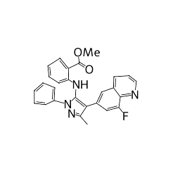 COC(=O)c1ccccc1Nc1c(-c2cc(F)c3ncccc3c2)c(C)nn1-c1ccccc1